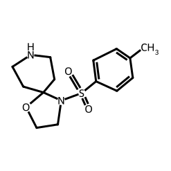 Cc1ccc(S(=O)(=O)N2CCOC23CCNCC3)cc1